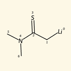 [Li][CH2]C(=S)N(C)C